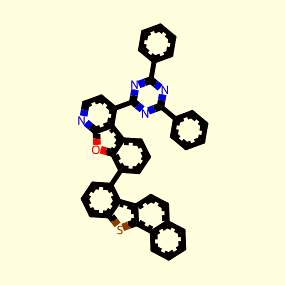 c1ccc(-c2nc(-c3ccccc3)nc(-c3ccnc4oc5c(-c6cccc7sc8c9ccccc9ccc8c67)cccc5c34)n2)cc1